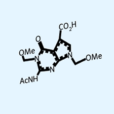 COCn1c(NC(C)=O)nc2c(c(C(=O)O)cn2COC)c1=O